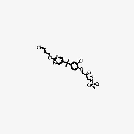 CC(C)(c1cnc(OCCCCl)nc1)c1ccc(OCC(=O)CNS(C)(=O)=O)c(Cl)c1